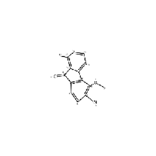 COc1c(O)ccc2c1-c1nccc(C)c1C2=O